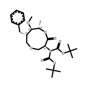 CO[C@@H]1[C@@H](Cc2ccccc2)COC[C@H](N(C(=O)OC(C)(C)C)C(=O)OC(C)(C)C)C(=O)O[C@H]1C